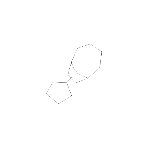 C1CCC(P2C3CCCCC2CC3)C1